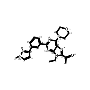 CCn1c(C(C)=O)nc2c(N3CCOCC3)nc(-c3cccc(-c4ccn(C)n4)c3)nc21